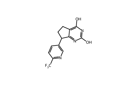 Oc1nc(O)c2c(n1)C(c1ccc(C(F)(F)F)nc1)CC2